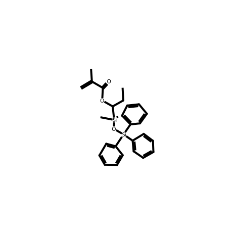 C=C(C)C(=O)OC(CC)[Si](C)(C)O[Si](c1ccccc1)(c1ccccc1)c1ccccc1